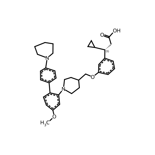 COc1ccc(-c2ccc(N3CCCCC3)cc2)c(N2CCC(COc3cccc([C@@H](CC(=O)O)C4CC4)c3)CC2)c1